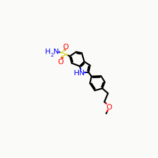 COCCc1ccc(-c2cc3ccc(S(N)(=O)=O)cc3[nH]2)cc1